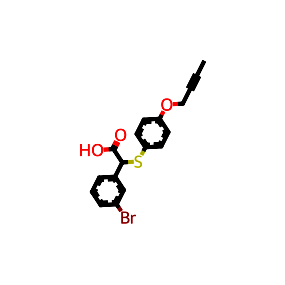 CC#CCOc1ccc(SC(C(=O)O)c2cccc(Br)c2)cc1